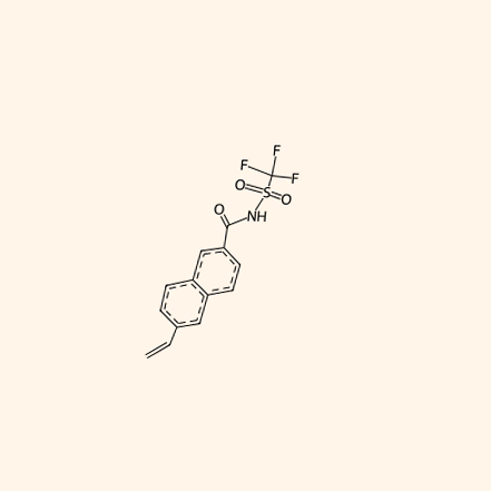 C=Cc1ccc2cc(C(=O)NS(=O)(=O)C(F)(F)F)ccc2c1